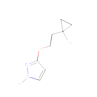 CCn1ccc(OCCC2(C(F)(F)F)CC2)n1